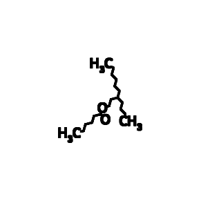 CCCCCCC(CCCC)CCOC(=O)CCCCC